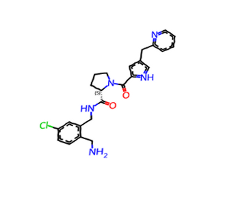 NCc1ccc(Cl)cc1CNC(=O)[C@@H]1CCCN1C(=O)c1cc(Cc2ccccn2)c[nH]1